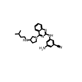 CC(C)CCNC1CCN(c2nc(Nc3cc(N)cc(C#N)c3)nc3ccccc23)C1